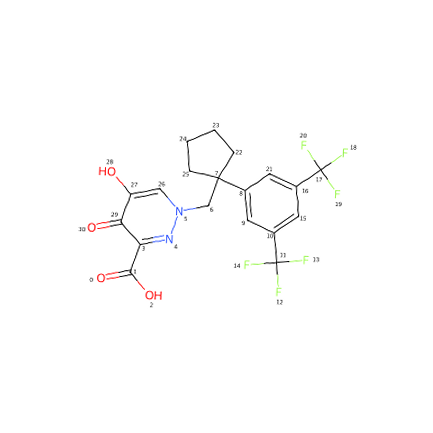 O=C(O)c1nn(CC2(c3cc(C(F)(F)F)cc(C(F)(F)F)c3)CCCC2)cc(O)c1=O